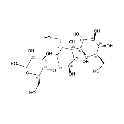 OC[C@H]1O[C@@H]([C@@]2(O)[C@H](O)[C@@H](O)[C@H](O[C@H]3[C@H](O)[C@@H](O)C(O)O[C@@H]3CO)O[C@@H]2CO)[C@H](O)[C@@H](O)[C@H]1O